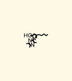 CCCCCc1cc(O)n(-c2nc(C)c(C)nc2C)c1